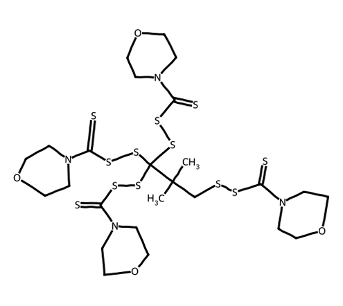 CC(C)(CSSC(=S)N1CCOCC1)C(SSC(=S)N1CCOCC1)(SSC(=S)N1CCOCC1)SSC(=S)N1CCOCC1